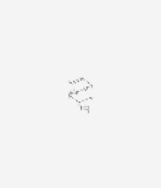 C1=CC2CCC1NO2.Cl